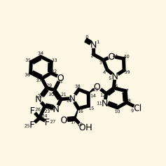 C=NCC1CN(c2cc(Cl)cnc2O[C@H]2C[C@@H](C(=O)O)N(c3nc(C(F)(F)F)nc4c3oc3ccccc34)C2)CCO1